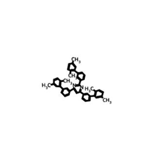 Cc1ccc(C)c(-c2cccc(-c3cc(-c4cccc(-c5cc(C)ccc5C)c4)nc(-c4cccc(-c5cc(C)ccc5C)c4)n3)c2)c1